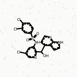 O=S(=O)(Nc1cc(Cl)cnc1C(O)c1ccnc2[nH]ccc12)c1ccc(Cl)c(Cl)c1